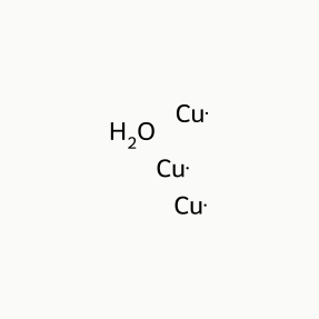 O.[Cu].[Cu].[Cu]